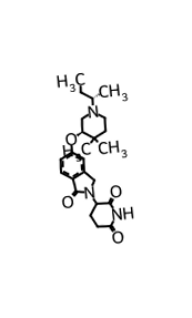 CC[C@H](C)N1CCC(C)(C)[C@@H](Oc2ccc3c(c2)CN(C2CCC(=O)NC2=O)C3=O)C1